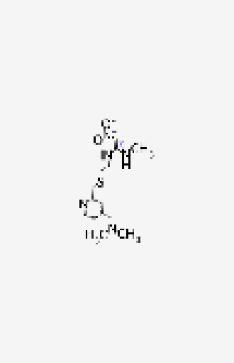 CN/C(=C/[N+](=O)[O-])NCCSCc1cc(CN(C)C)ccn1